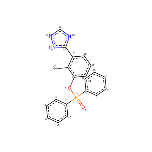 [2H]c1c(OP(=O)(c2ccccc2)c2ccccc2)cccc1-c1ncn[nH]1